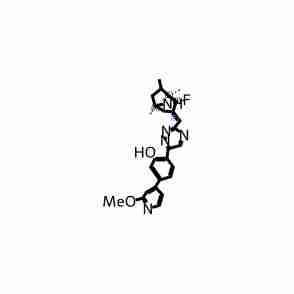 COc1cc(-c2ccc(-c3cnc(/C=C4\C[C@@]5(C)CC(C)[C@](C)(N5)[C@@H]4F)nn3)c(O)c2)ccn1